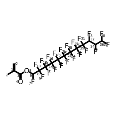 C=C(C)C(=O)OC(F)C(F)(F)C(F)(F)C(F)(F)C(F)(F)C(F)(F)C(F)(F)C(F)(F)C(F)(F)C(F)C(F)C(F)F